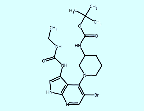 CCNC(=O)Nc1c[nH]c2ncc(Br)c(N3CCCC(NC(=O)OC(C)(C)C)C3)c12